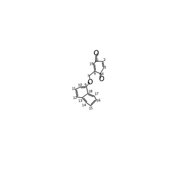 O=C1C=CC(=O)C(COc2cccc3ccccc23)=C1